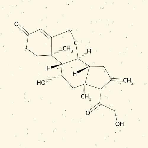 C=C1C[C@H]2[C@@H]3CCC4=CC(=O)CC[C@]4(C)[C@H]3[C@@H](O)C[C@]2(C)[C@H]1C(=O)CO